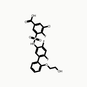 O=C(O)c1cc(Cl)c(F)c(S(=O)(=O)Nc2cc(-c3ccccc3OCCO)c(F)cc2F)c1